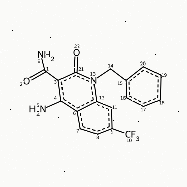 NC(=O)c1c(N)c2ccc(C(F)(F)F)cc2n(Cc2ccccc2)c1=O